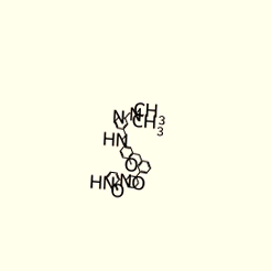 CN(C)Cc1cc(CNc2ccc3c(c2)Cc2cccc(C4CN(c5ccc[nH]c5=O)CCO4)c2O3)ccn1